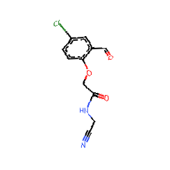 N#CCNC(=O)COc1ccc(Cl)cc1C=O